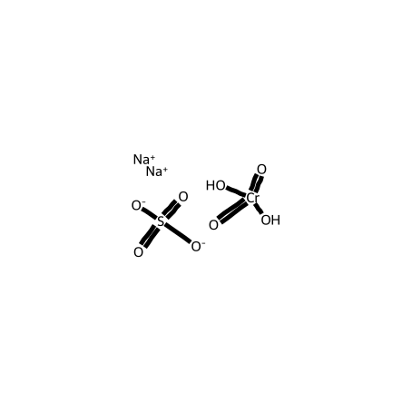 O=S(=O)([O-])[O-].[Na+].[Na+].[O]=[Cr](=[O])([OH])[OH]